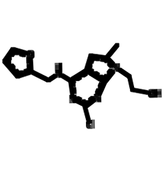 Cc1cc2c(NCc3ccco3)nc(Cl)nc2n1CCO